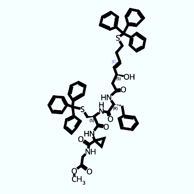 COC(=O)CNC(=O)C1(NC(=O)[C@@H](CSC(c2ccccc2)(c2ccccc2)c2ccccc2)NC(=O)[C@@H](Cc2ccccc2)NC(=O)C[C@H](O)/C=C/CCSC(c2ccccc2)(c2ccccc2)c2ccccc2)CC1